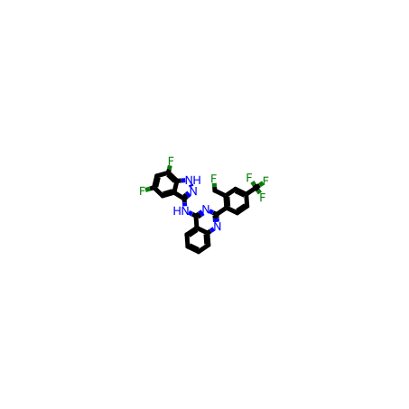 FCc1cc(C(F)(F)F)ccc1-c1nc(Nc2n[nH]c3c(F)cc(F)cc23)c2ccccc2n1